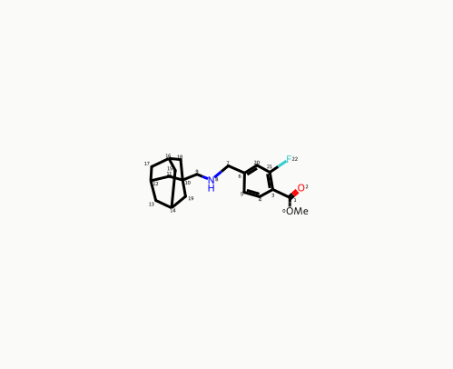 COC(=O)c1ccc(CNCC23CC4CC(CC(C4)C2)C3)cc1F